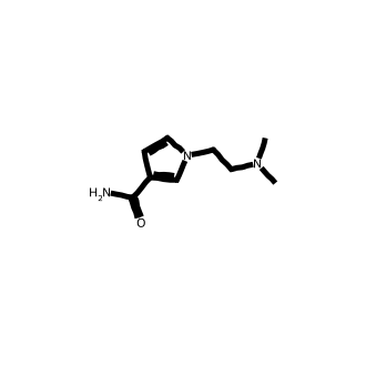 CN(C)CCn1ccc(C(N)=O)c1